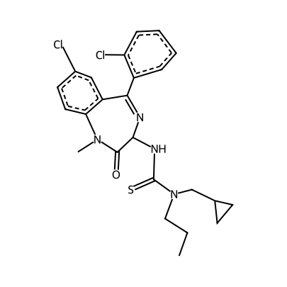 CCCN(CC1CC1)C(=S)NC1N=C(c2ccccc2Cl)c2cc(Cl)ccc2N(C)C1=O